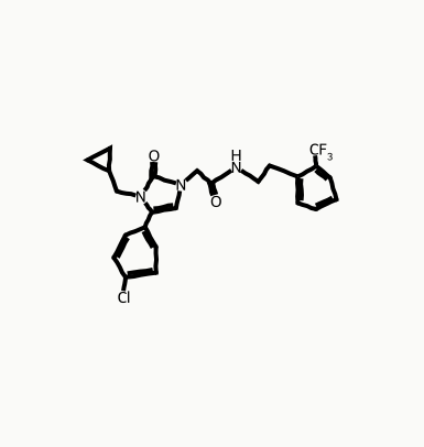 O=C(Cn1cc(-c2ccc(Cl)cc2)n(CC2CC2)c1=O)NCCc1ccccc1C(F)(F)F